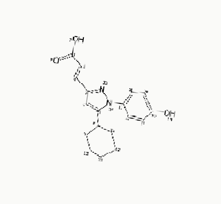 O=C(O)C=Cc1cc(C2CCCCC2)n(-c2ccc(O)cc2)n1